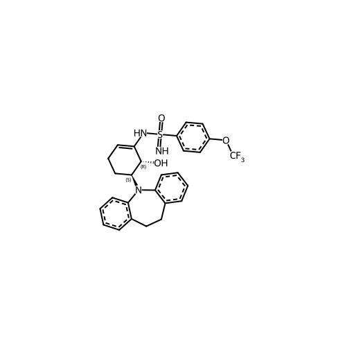 N=S(=O)(NC1=CCC[C@H](N2c3ccccc3CCc3ccccc32)[C@H]1O)c1ccc(OC(F)(F)F)cc1